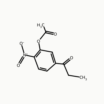 CCC(=O)c1ccc([N+](=O)[O-])c(OC(C)=O)c1